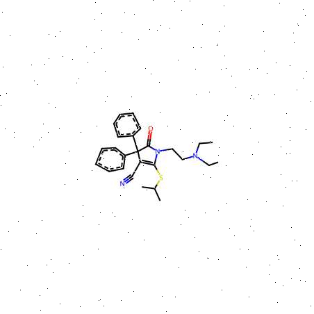 CCN(CC)CCN1C(=O)C(c2ccccc2)(c2ccccc2)C(C#N)=C1SC(C)C